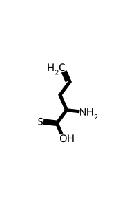 C=CCC(N)C(O)=S